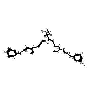 C=CC(CCCOC(CCCC(C=C)CCOCc1ccccc1)C(C)(C)[SiH](C)C)CCOCc1ccccc1